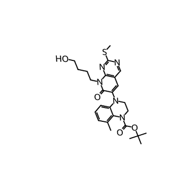 CSc1ncc2cc(N3CCN(C(=O)OC(C)(C)C)c4c(C)cccc43)c(=O)n(CCCCO)c2n1